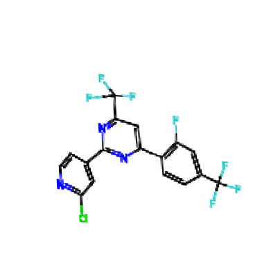 Fc1cc(C(F)(F)F)ccc1-c1cc(C(F)(F)F)nc(-c2ccnc(Cl)c2)n1